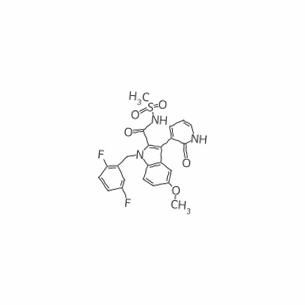 COc1ccc2c(c1)c(-c1ccc[nH]c1=O)c(C(=O)NS(C)(=O)=O)n2Cc1cc(F)ccc1F